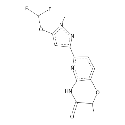 CC1Oc2ccc(-c3cc(OC(F)F)n(C)n3)nc2NC1=O